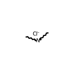 CCCCCC=C[N+](C)(C)C=CCCCCC.[Cl-]